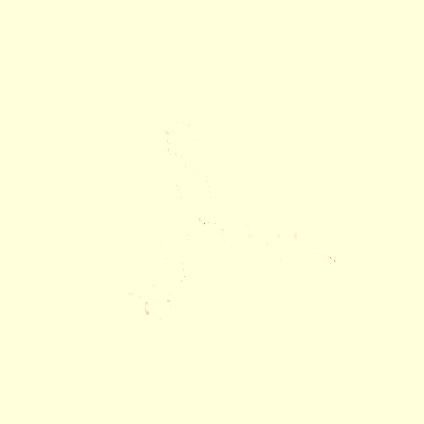 N#Cc1ccc(-c2ccc(N(c3ccc(-c4ccccc4)cc3)c3ccc4c(c3)Oc3cccc5cccc-4c35)cc2)cc1